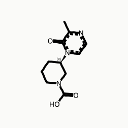 Cc1nccn([C@@H]2CCCN(C(=O)O)C2)c1=O